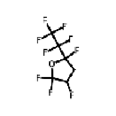 FC1CC(F)(C(F)(F)C(F)(F)F)OC1(F)F